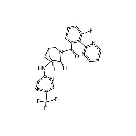 O=C(c1cccc(F)c1-c1ncccn1)N1CC2CC[C@@H]1[C@@H](Nc1cnc(C(F)(F)F)cn1)C2